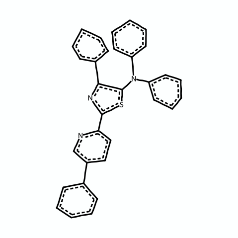 c1ccc(-c2ccc(-c3nc(-c4ccccc4)c(N(c4ccccc4)c4ccccc4)s3)nc2)cc1